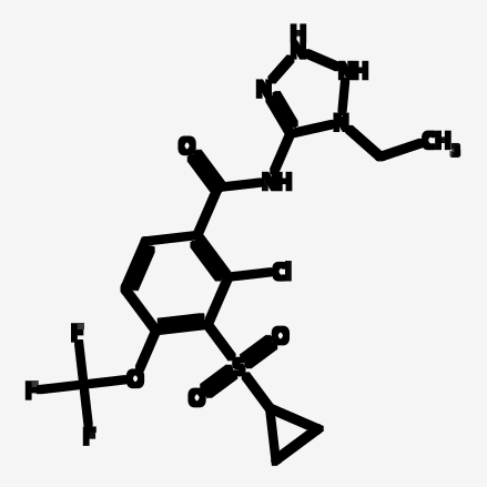 CCN1NNN=C1NC(=O)c1ccc(OC(F)(F)F)c(S(=O)(=O)C2CC2)c1Cl